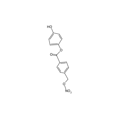 O=C(Oc1ccc(O)cc1)c1ccc(CO[N+](=O)[O-])cc1